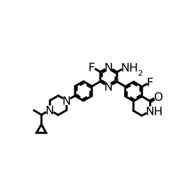 CC(C1CC1)N1CCN(c2ccc(-c3nc(-c4cc(F)c5c(c4)CCNC5=O)c(N)nc3F)cc2)CC1